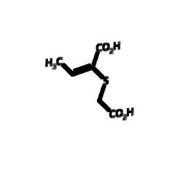 CC=C(SCC(=O)O)C(=O)O